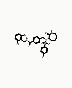 O=C(NCc1c(Cl)cccc1Cl)c1ccc(CN([C@@H]2CCCCNC2=O)S(=O)(=O)c2ccc(Cl)cc2)cc1